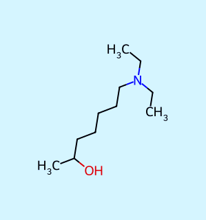 CCN(CC)CCCCCC(C)O